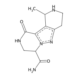 CC1NCCc2nn3c(c21)C(=O)NCC3C(N)=O